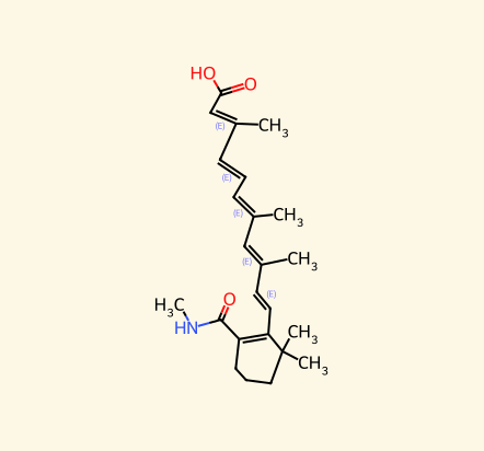 CNC(=O)C1=C(/C=C/C(C)=C/C(C)=C/C=C/C(C)=C/C(=O)O)C(C)(C)CCC1